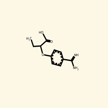 CCC(Oc1ccc(C(=N)N)cc1)C(=O)O